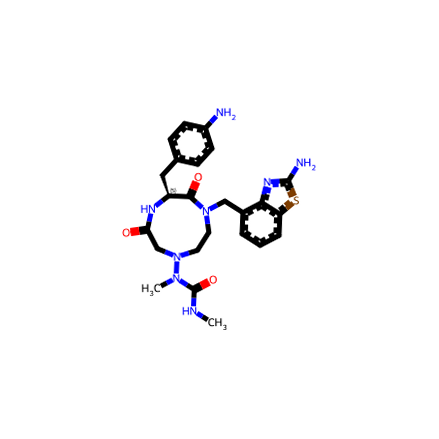 CNC(=O)N(C)N1CCN(Cc2cccc3sc(N)nc23)C(=O)[C@H](Cc2ccc(N)cc2)NC(=O)C1